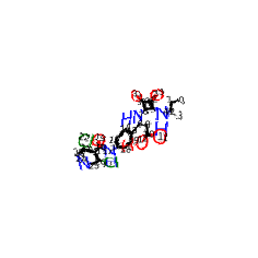 CC[C@H](C)Nc1c(N[C@@H](CC(=O)O)c2ccc(NC(=O)c3c(Cl)cncc3Cl)cc2)c(=O)c1=O